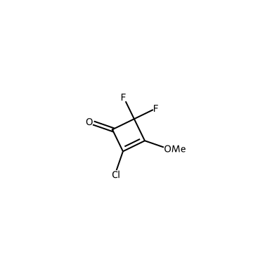 COC1=C(Cl)C(=O)C1(F)F